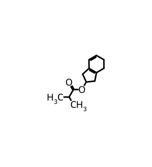 CC(C)C(=O)OC1CC2=C(CCC=C2)C1